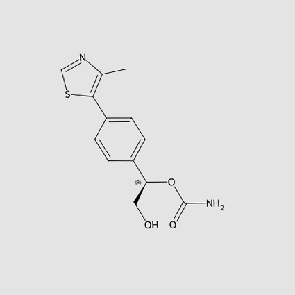 Cc1ncsc1-c1ccc([C@H](CO)OC(N)=O)cc1